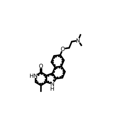 Cc1c[nH]c(=O)c2c1[nH]c1ccc3cc(OCCN(C)C)ccc3c12